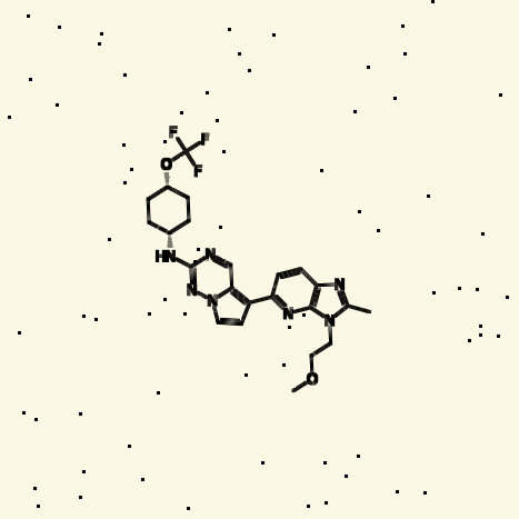 COCCn1c(C)nc2ccc(-c3ccn4nc(N[C@H]5CC[C@@H](OC(F)(F)F)CC5)ncc34)nc21